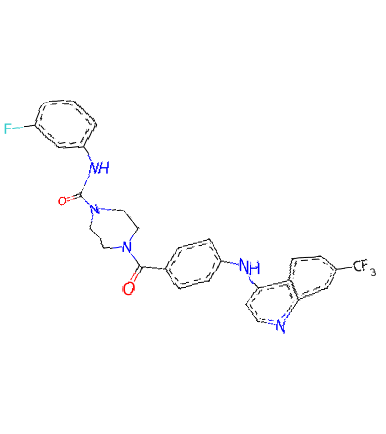 O=C(Nc1cccc(F)c1)N1CCN(C(=O)c2ccc(Nc3ccnc4cc(C(F)(F)F)ccc34)cc2)CC1